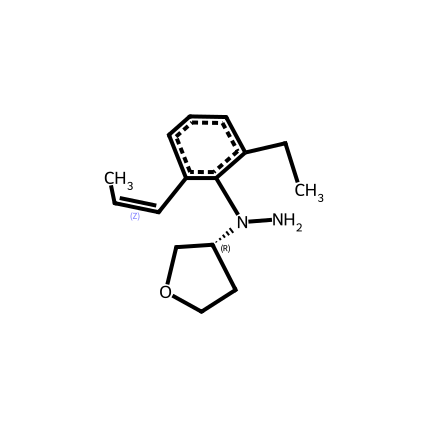 C/C=C\c1cccc(CC)c1N(N)[C@@H]1CCOC1